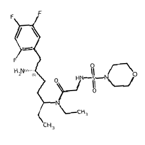 CCC(CC[C@H](N)Cc1cc(F)c(F)cc1F)N(CC)C(=O)CNS(=O)(=O)N1CCOCC1